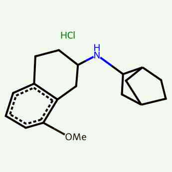 COc1cccc2c1CC(NC1CC3CCC1C3)CC2.Cl